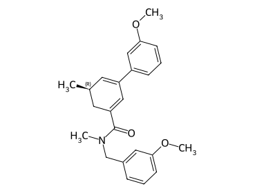 COc1cccc(CN(C)C(=O)C2=CC(c3cccc(OC)c3)=C[C@H](C)C2)c1